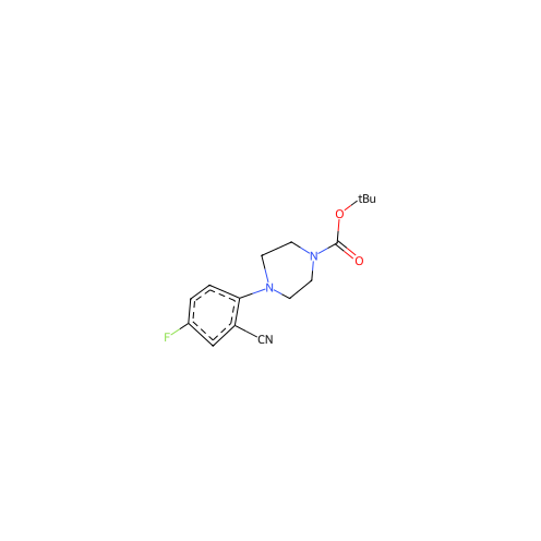 CC(C)(C)OC(=O)N1CCN(c2ccc(F)cc2C#N)CC1